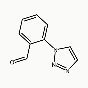 O=Cc1ccccc1-n1ccnn1